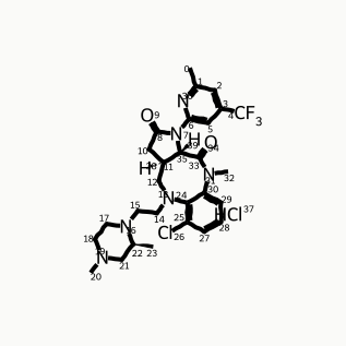 Cc1cc(C(F)(F)F)cc(N2C(=O)C[C@@H]3CN(CCN4CCN(C)C[C@@H]4C)c4c(Cl)cccc4N(C)C(=O)[C@H]32)n1.Cl